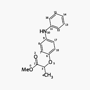 COC(=O)C(C)Oc1ccc(Nc2ccccc2)cc1